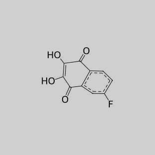 O=C1C(O)=C(O)C(=O)c2cc(F)ccc21